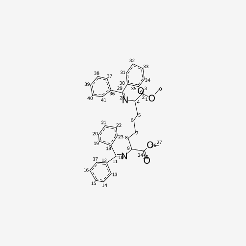 COC(=O)C(CCCCC(N=C(c1ccccc1)c1ccccc1)C(=O)OC)N=C(c1ccccc1)c1ccccc1